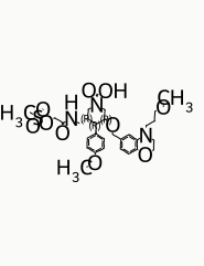 COCCCN1CCOc2ccc(CO[C@H]3CN(C(=O)O)C[C@@H](CNC(=O)COS(C)(=O)=O)[C@@H]3c3ccc(OC)cc3)cc21